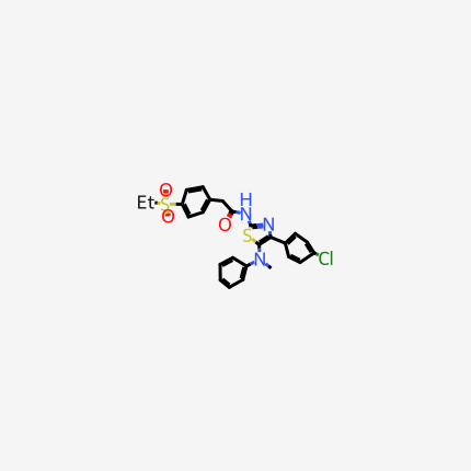 CCS(=O)(=O)c1ccc(CC(=O)Nc2nc(-c3ccc(Cl)cc3)c(N(C)c3ccccc3)s2)cc1